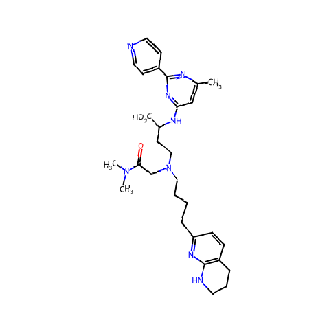 Cc1cc(NC(CCN(CCCCc2ccc3c(n2)NCCC3)CC(=O)N(C)C)C(=O)O)nc(-c2ccncc2)n1